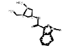 CC(C)n1nc(C(=O)N[C@H]2C[C@@H](CN)N(C(=O)O)C2)c2ccccc21